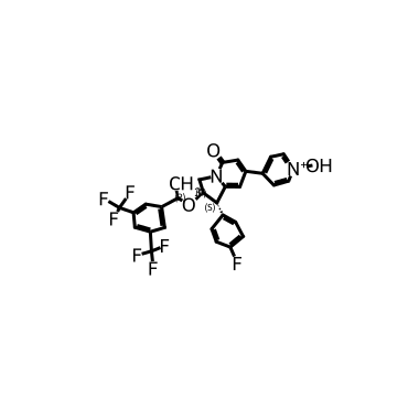 C[C@@H](O[C@H]1Cn2c(cc(-c3cc[n+](O)cc3)cc2=O)[C@@H]1c1ccc(F)cc1)c1cc(C(F)(F)F)cc(C(F)(F)F)c1